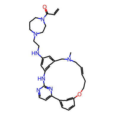 C=CC(=O)N1CCCN(CCNc2cc3cc(c2)Nc2nccc(n2)-c2cccc(c2)OCC/C=C/CN(C)C3)CC1